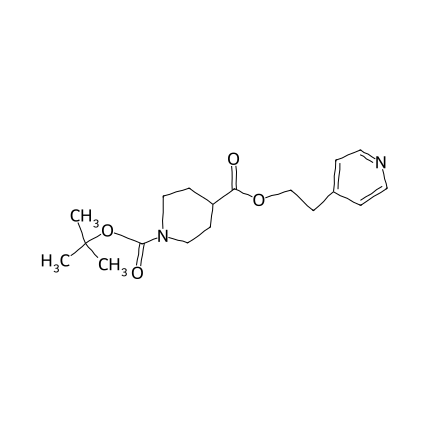 CC(C)(C)OC(=O)N1CCC(C(=O)OCCc2ccncc2)CC1